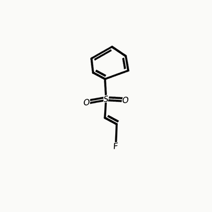 O=S(=O)(C=CF)c1ccccc1